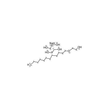 CCCCCCCCCCCCOCCO.OCCO.OCCO.[NaH]